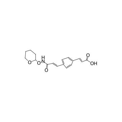 O=C(O)/C=C/c1ccc(/C=C/C(=O)NOC2CCCCO2)cc1